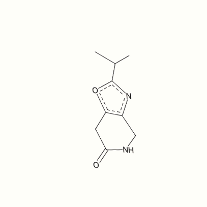 CC(C)c1nc2c(o1)CC(=O)NC2